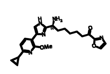 COc1nc(C2CC2)ccc1-c1c[nH]c([C@@H](N)CCCCCC(=O)c2ncco2)n1